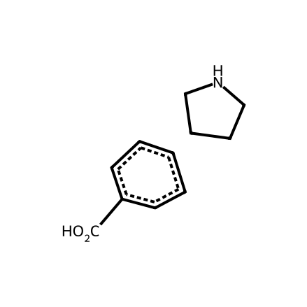 C1CCNC1.O=C(O)c1ccccc1